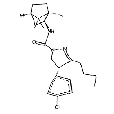 CCCCC1=NN(C(=O)N[C@H]2C[C@H]3CC[C@]2(C)C3(C)C)C[C@H]1c1ccc(Cl)cc1